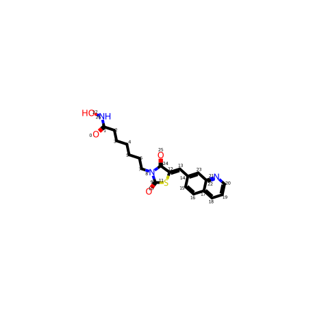 O=C(CCCCCCN1C(=O)S/C(=C\c2ccc3cccnc3c2)C1=O)NO